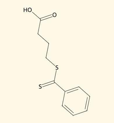 O=C(O)CCCSC(=S)c1ccccc1